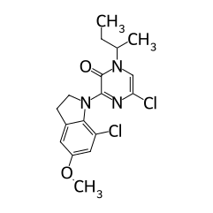 CCC(C)n1cc(Cl)nc(N2CCc3cc(OC)cc(Cl)c32)c1=O